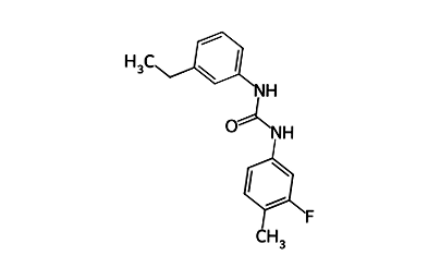 CCc1cccc(NC(=O)Nc2ccc(C)c(F)c2)c1